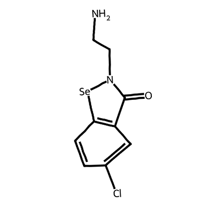 NCCn1[se]c2ccc(Cl)cc2c1=O